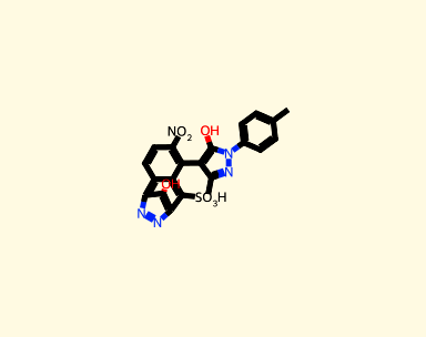 Cc1ccc(-n2nc(C)c(-c3c([N+](=O)[O-])ccc4c5c(O)c(c(S(=O)(=O)O)c34)N=N5)c2O)cc1